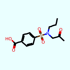 CCCN(CC(C)=O)S(=O)(=O)c1ccc(C(=O)O)cc1